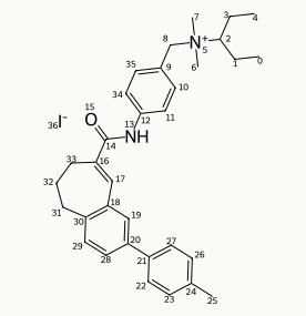 CCC(CC)[N+](C)(C)Cc1ccc(NC(=O)C2=Cc3cc(-c4ccc(C)cc4)ccc3CCC2)cc1.[I-]